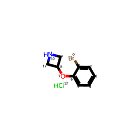 Brc1ccccc1OC1CNC1.Cl